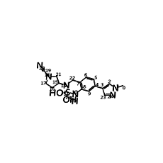 Cn1cc(-c2ccc3c(c2)NS(O)(O)N(C2CCN(C#N)C2)C3)cn1